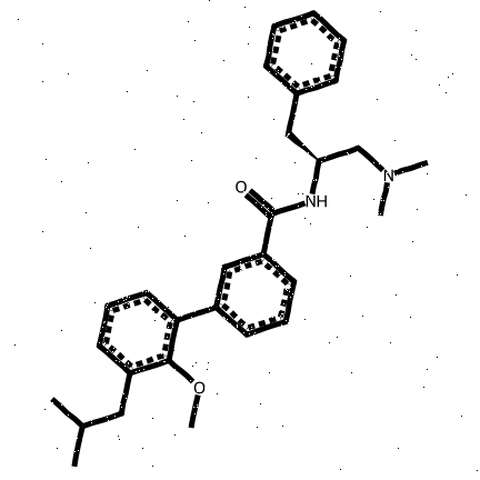 COc1c(CC(C)C)cccc1-c1cccc(C(=O)N[C@@H](Cc2ccccc2)CN(C)C)c1